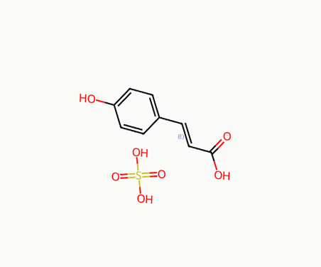 O=C(O)/C=C/c1ccc(O)cc1.O=S(=O)(O)O